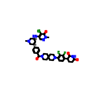 CN1C[C@H](Nc2cnn(C)c(=O)c2Cl)C[C@H](c2ccc(C(=O)N3CCC4(CC3)CCN(c3ccc(C5CCC(=O)NC5=O)c(F)c3F)CC4)cc2)C1